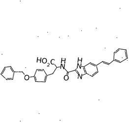 O=C(NC(Cc1ccc(OCc2ccccc2)cc1)C(=O)O)c1nc2ccc(C=Cc3ccccc3)cc2[nH]1